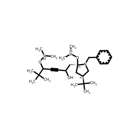 C[SiH](C)OC(C#CC(O)C[C@@]1(O[SiH](C)C)C[C@H](C(C)(C)C)CN1Cc1ccccc1)C(C)(C)C